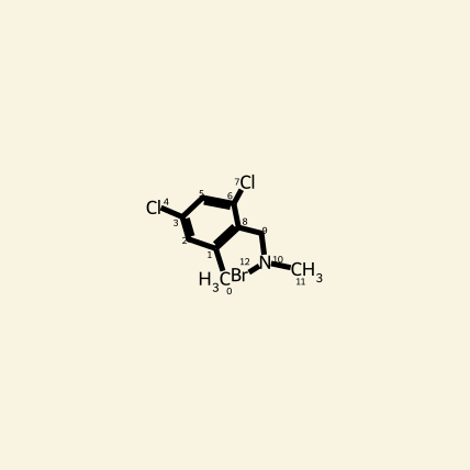 Cc1cc(Cl)cc(Cl)c1CN(C)Br